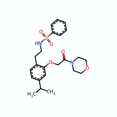 CC(C)c1ccc(CCNS(=O)(=O)c2ccccc2)c(OCC(=O)N2CCOCC2)c1